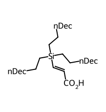 CCCCCCCCCCCC[Si](C=CC(=O)O)(CCCCCCCCCCCC)CCCCCCCCCCCC